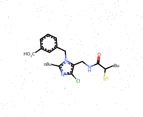 CCCCc1nc(Cl)c(CNC(=O)C(S)C(C)CC)n1Cc1cccc(C(=O)O)c1